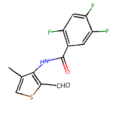 Cc1csc(C=O)c1NC(=O)c1cc(F)c(F)cc1F